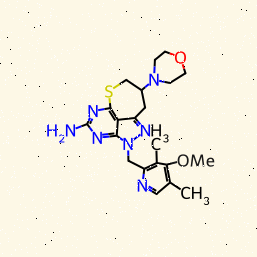 COc1c(C)cnc(Cn2nc3c4c(nc(N)nc42)SCC(N2CCOCC2)C3)c1C